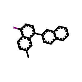 Cc1ccc2c(I)ccc(-c3ccc4ccccc4c3)c2c1